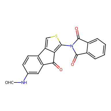 O=CNc1ccc2c(c1)C(=O)c1c-2csc1N1C(=O)c2ccccc2C1=O